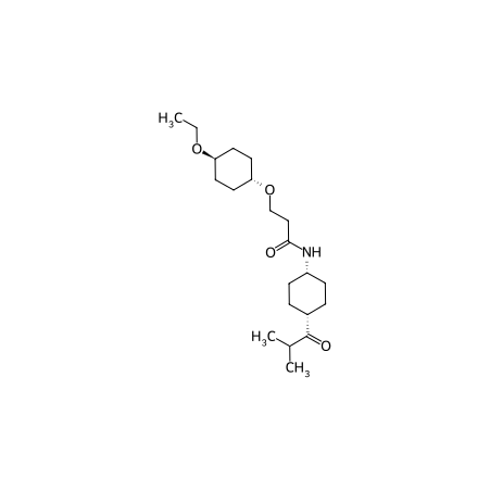 CCO[C@H]1CC[C@H](OCCC(=O)N[C@H]2CC[C@@H](C(=O)C(C)C)CC2)CC1